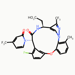 Cc1cccc2c1-n1cc(c(C(F)(F)F)n1)[C@H](CC(=O)O)NC(=O)[C@@H](n1ccc(C(F)(F)F)cc1=O)c1cc(ccc1F)O2